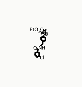 CCOC(=O)N(C)S(=O)(=O)c1ccc(CCNC(=O)c2cccc(Cl)c2)cc1